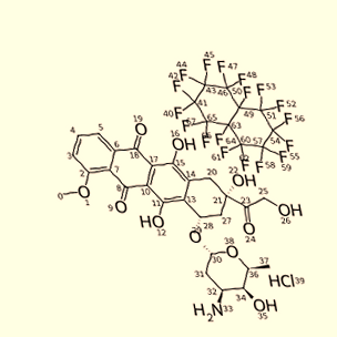 COc1cccc2c1C(=O)c1c(O)c3c(c(O)c1C2=O)C[C@@](O)(C(=O)CO)C[C@@H]3O[C@H]1C[C@H](N)[C@H](O)[C@H](C)O1.Cl.FC1(F)C(F)(F)C(F)(F)C2(F)C(F)(F)C(F)(F)C(F)(F)C(F)(F)C2(F)C1(F)F